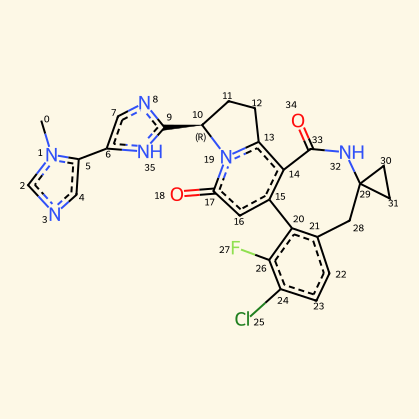 Cn1cncc1-c1cnc([C@H]2CCc3c4c(cc(=O)n32)-c2c(ccc(Cl)c2F)CC2(CC2)NC4=O)[nH]1